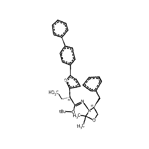 CC(C)(C)OC(=NN1[C@@H](Cc2ccccc2)COC1(C)C)[C@H](CC(=O)O)c1ccc(-c2ccc(-c3ccccc3)cc2)o1